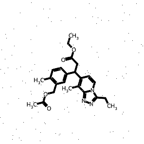 CCOC(=O)CC(c1ccc(C)c(COC(C)=O)c1)c1ccn2c(CC)nnc2c1C